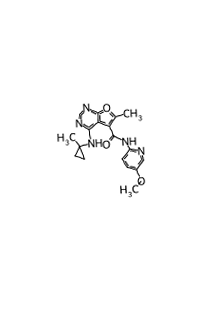 COc1ccc(NC(=O)c2c(C)oc3ncnc(NC4(C)CC4)c23)nc1